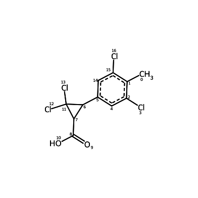 Cc1c(Cl)cc(C2C(C(=O)O)C2(Cl)Cl)cc1Cl